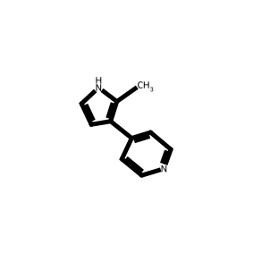 Cc1[nH]ccc1-c1ccncc1